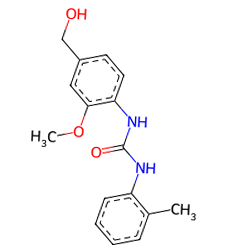 COc1cc(CO)ccc1NC(=O)Nc1ccccc1C